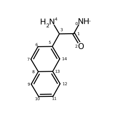 [NH]C(=O)C(N)c1ccc2ccccc2c1